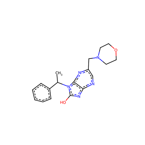 CC(c1ccccc1)n1c(O)nc2ncc(CN3CCOCC3)nc21